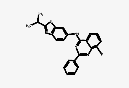 CC(C)c1nc2ccc(Nc3nc(-c4ccncc4)nc4c(F)cccc34)cc2s1